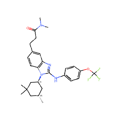 C[C@H]1C[C@H](n2c(Nc3ccc(OC(F)(F)F)cc3)nc3cc(CCC(=O)N(C)C)ccc32)CC(C)(C)C1